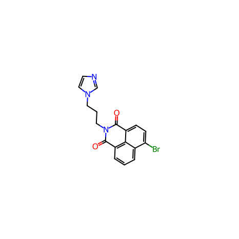 O=C1c2cccc3c(Br)ccc(c23)C(=O)N1CCCn1ccnc1